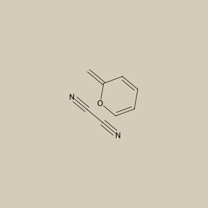 C=C1C=CC=CO1.N#CC#N